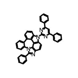 c1ccc(-c2cc(-c3ccccc3)nc(-n3c4cccc5c6ccccc6n6c(-c7ccccc7)nc7ccc3c(c54)c76)n2)cc1